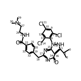 CC(C)c1[nH]n(-c2c(Cl)cc(Cl)cc2Cl)c2nc(Cc3ccc(C(=O)NCCN(C)C)cc3)nc(=O)c1-2